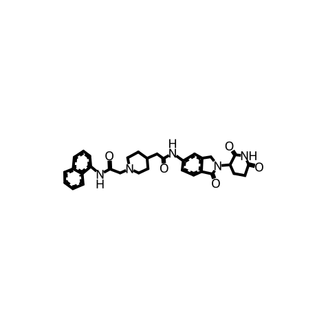 O=C1CCC(N2Cc3cc(NC(=O)CC4CCN(CC(=O)Nc5cccc6ccccc56)CC4)ccc3C2=O)C(=O)N1